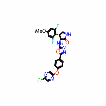 COc1cc(F)c([C@@H]2CNC(=O)[C@H]2Nc2nnc(-c3ccc(Oc4cnc(Cl)cn4)cc3)o2)c(F)c1